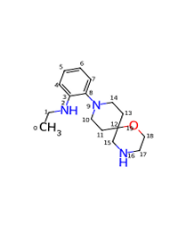 CCNc1ccccc1N1CCC2(CC1)CNCCO2